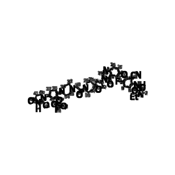 CCN(C)S(=O)(=O)Nc1ccc(F)c(Oc2ccc3ncn(C4COC5(CCN(C(=O)CN6CCN(c7ccc(N8CCC(=O)NC8=O)cc7OS(=O)(=O)F)CC6)CC5)C4)c(=O)c3c2)c1C#N